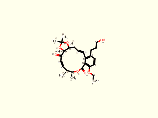 COCOc1ccc(CCCO)c2c1C(=O)O[C@@H](C)[C@H](C)/C=C\C(=O)[C@H]1OC(C)(C)O[C@H]1C/C=C/2